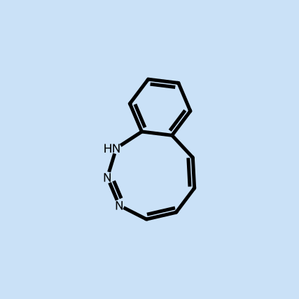 c1ccc2ccccc2[nH]nnc1